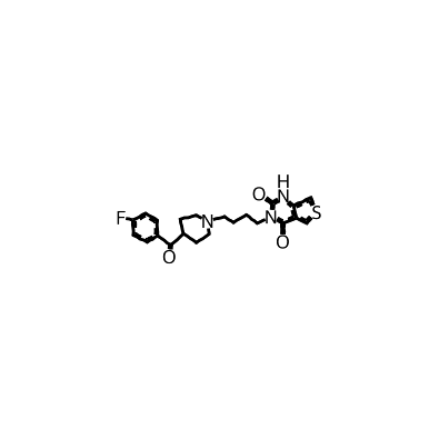 O=C(c1ccc(F)cc1)C1CCN(CCCCn2c(=O)[nH]c3cscc3c2=O)CC1